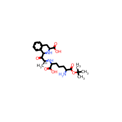 C[C@H](NC(CCCC(N)C(=O)OC(C)(C)C)C(=O)O)C(=O)C1NC(C(=O)O)Cc2ccccc21